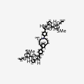 C=C=C1/C=C(/c2ccc(-c3c[nH]c([C@@H]4CCCN4C(=O)[C@H](CCSC)NC(=O)OCC=C)n3)cc2)CCCc2ccc(c(-c3ccc(-c4c[nH]c([C@@H]5CCCN5C(=O)[C@H](CCSC)NC(=O)OCC=C)n4)cc3)c2)CC1